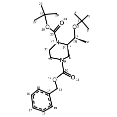 C[C@H](OC(C)(C)C)[C@H]1CN(C(=O)OCc2ccccc2)CCN1C(=O)OC(C)(C)C